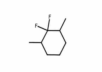 CC1CCCC(C)C1(F)F